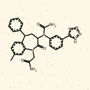 Cc1ccc2c(c1)N(CC(N)=O)C(=O)C(N(C(N)=O)c1cccc(-c3nnn[nH]3)c1)CC2c1ccccc1